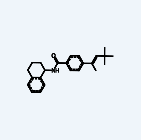 CC(=CC(C)(C)C)c1ccc(C(=O)NC2CCCc3ccccc32)cc1